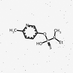 CCN(C)P(O)(=S)Oc1ccc(C)nc1